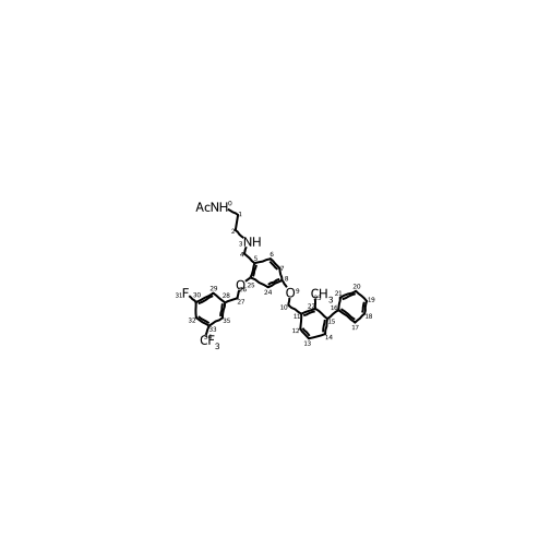 CC(=O)NCCNCc1ccc(OCc2cccc(-c3ccccc3)c2C)cc1OCc1cc(F)cc(C(F)(F)F)c1